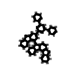 c1ccc(-c2nc(-c3ccccc3)nc(-c3cc(-n4c5ccccc5c5c6c(ccc54)oc4ccccc46)c4c(c3)oc3ccccc34)n2)cc1